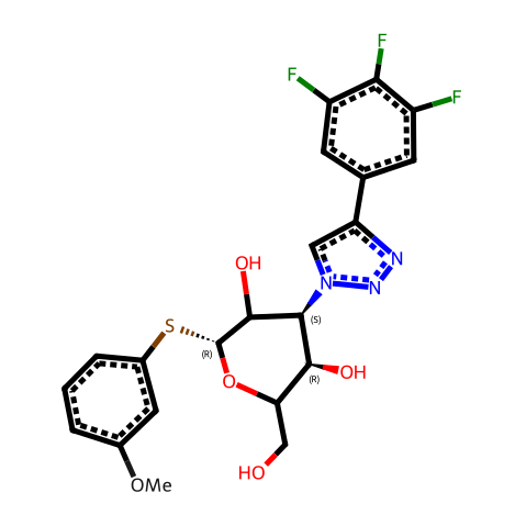 COc1cccc(S[C@H]2OC(CO)[C@H](O)[C@H](n3cc(-c4cc(F)c(F)c(F)c4)nn3)C2O)c1